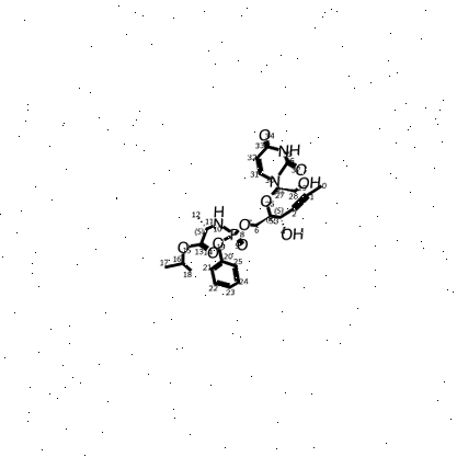 CC#C[C@H](O)[C@@H](COP(=O)(N[C@@H](C)C(=O)OC(C)C)Oc1ccccc1)O[C@H](CO)n1ccc(=O)[nH]c1=O